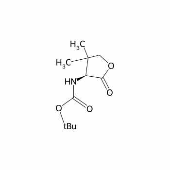 CC(C)(C)OC(=O)N[C@@H]1C(=O)OCC1(C)C